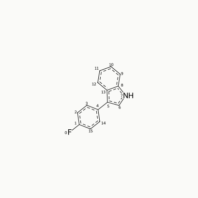 Fc1ccc(-c2c[nH]c3ccccc23)cc1